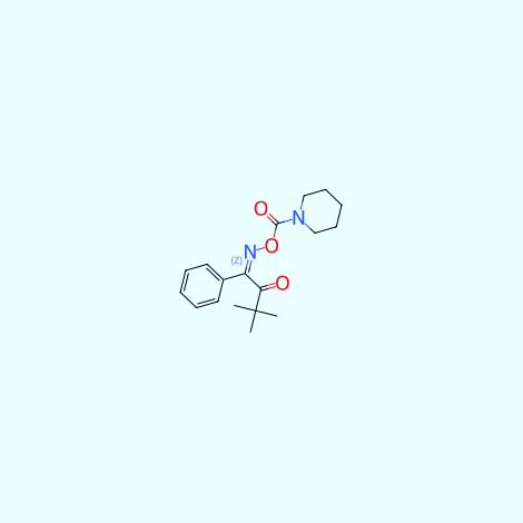 CC(C)(C)C(=O)/C(=N\OC(=O)N1CCCCC1)c1ccccc1